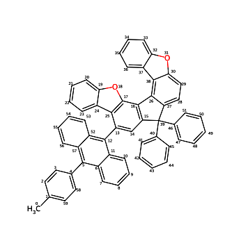 Cc1ccc(-c2c3ccccc3c(-c3cc4c(c5oc6ccccc6c35)-c3c(ccc5oc6ccccc6c35)C4(c3ccccc3)c3ccccc3)c3ccccc23)cc1